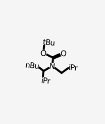 CCCCC(C(C)C)N(CC(C)C)C(=O)OC(C)(C)C